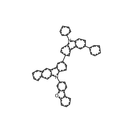 c1ccc(-c2ccc3c(c2)c2cc(-c4ccc5c(c4)c4cc6ccccc6cc4n5-c4ccc5c(c4)oc4ccccc45)ccc2n3-c2ccccc2)cc1